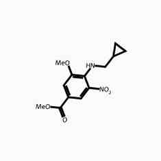 COC(=O)c1cc(OC)c(NCC2CC2)c([N+](=O)[O-])c1